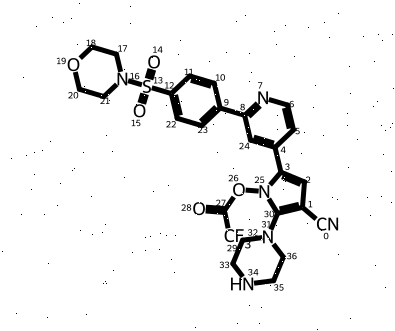 N#Cc1cc(-c2ccnc(-c3ccc(S(=O)(=O)N4CCOCC4)cc3)c2)n(OC(=O)C(F)(F)F)c1N1CCNCC1